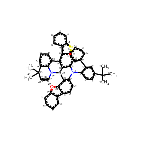 CC(C)(C)c1ccc(N2c3cc4sc5ccccc5c4c4c3B(c3c2ccc2c3oc3ccccc32)N2c3ccccc3C(C)(C)c3cccc-4c32)c(-c2ccccc2)c1